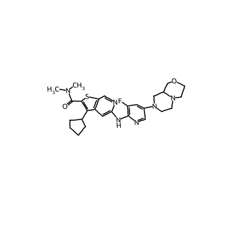 CN(C)C(=O)c1sc2cnc(Nc3ncc(N4CCN5CCOCC5C4)cc3F)cc2c1C1CCCC1